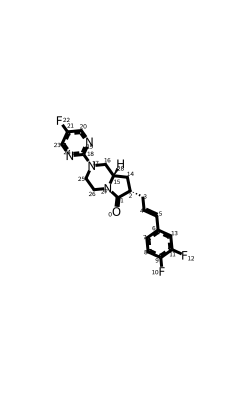 O=C1[C@@H](C/C=C/c2ccc(F)c(F)c2)C[C@H]2CN(c3ncc(F)cn3)CCN12